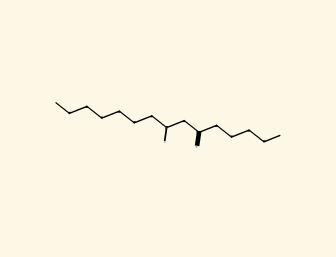 CCCC[CH]C(=O)CC(O)CCCCCCC